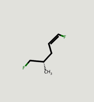 C[C@H](CF)C/C=C\F